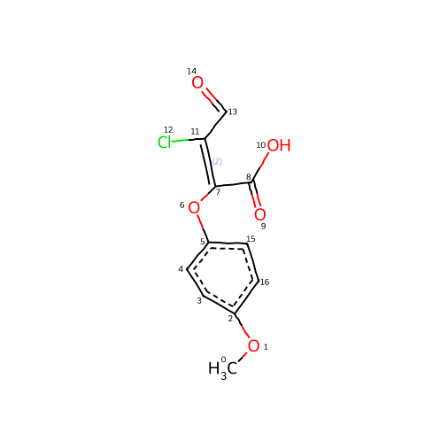 COc1ccc(O/C(C(=O)O)=C(\Cl)C=O)cc1